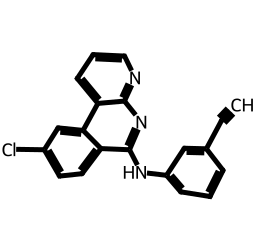 C#Cc1cccc(Nc2nc3ncccc3c3cc(Cl)ccc23)c1